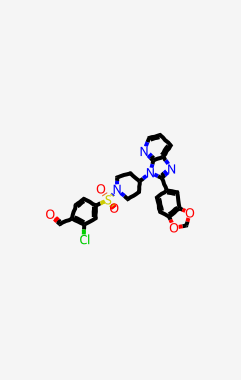 O=Cc1ccc(S(=O)(=O)N2CCC(n3c(-c4ccc5c(c4)OCO5)nc4cccnc43)CC2)cc1Cl